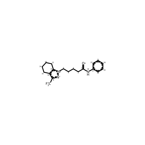 O=C(CCCCn1nc(C(F)(F)F)c2c1CCCC2)Nc1ccccc1